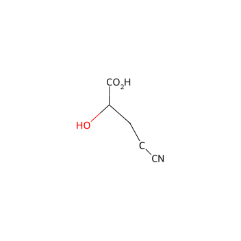 N#CCCC(O)C(=O)O